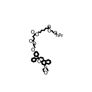 CCCOCCOC(=O)CCCCCOC(=O)CCC(=O)OCCOc1ccc(C2(c3ccccc3)C=Cc3c(cc(N4CCOCC4)c4ccccc34)O2)cc1